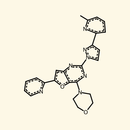 Cc1cccc(-c2ccn(-c3nc(N4CCOCC4)c4oc(-c5ccccn5)cc4n3)n2)n1